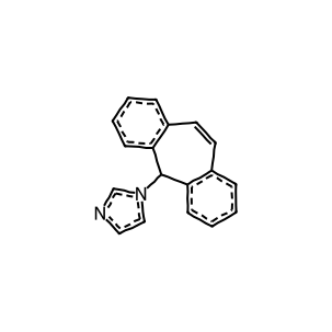 C1=Cc2ccccc2C(n2ccnc2)c2ccccc21